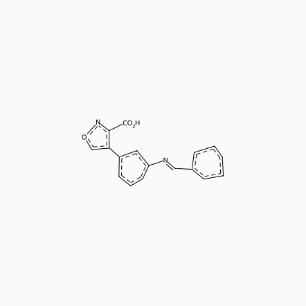 O=C(O)c1nocc1-c1cccc(N=Cc2ccccc2)c1